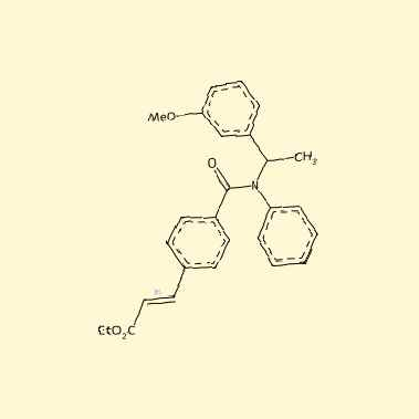 CCOC(=O)/C=C/c1ccc(C(=O)N(c2ccccc2)C(C)c2cccc(OC)c2)cc1